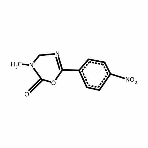 CN1CN=C(c2ccc([N+](=O)[O-])cc2)OC1=O